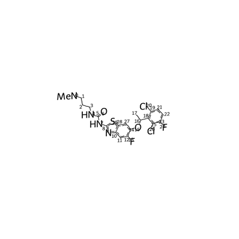 CNCCCNC(=O)Nc1nc2cc(F)c(OC(C)c3c(Cl)ccc(F)c3Cl)cc2s1